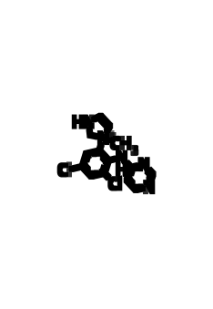 C[N+]1(c2cc(Cl)cc(Cl)c2Nc2ccncn2)C=CNC1